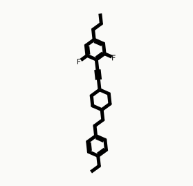 CCCc1cc(F)c(C#CC2CCC(CCc3ccc(CC)cc3)CC2)c(F)c1